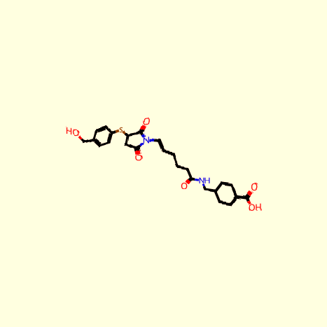 O=C(CCCCCN1C(=O)CC(Sc2ccc(CO)cc2)C1=O)NCC1CCC(C(=O)O)CC1